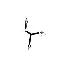 [CH2]CC(N)SCC